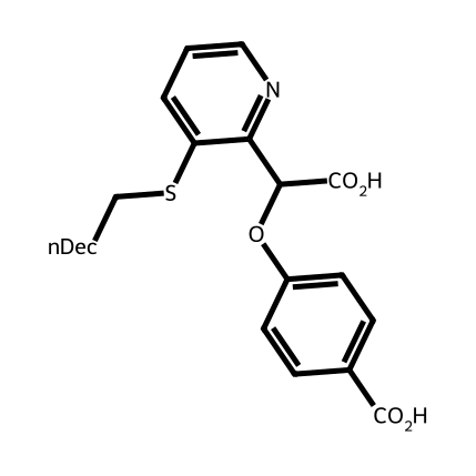 CCCCCCCCCCCSc1cccnc1C(Oc1ccc(C(=O)O)cc1)C(=O)O